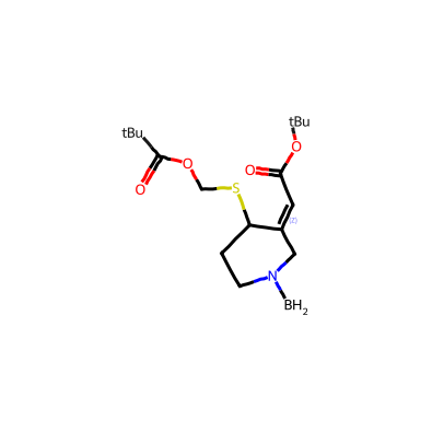 BN1CCC(SCOC(=O)C(C)(C)C)/C(=C\C(=O)OC(C)(C)C)C1